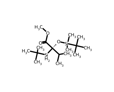 COC(=O)[C@](O[Si](C)(C)C(C)(C)C)([SiH2]C(C)(C)C)C(C)C